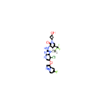 Cn1c(Nc2cc(C(F)(F)F)cn([C@H]3C[C@@H](O)C3)c2=O)nc2ncc(Oc3cnn4ccc(F)cc34)c(Cl)c21